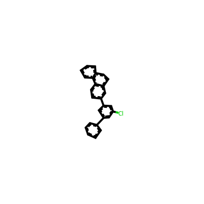 Clc1cc(-c2ccccc2)cc(-c2ccc3c(ccc4ccccc43)c2)c1